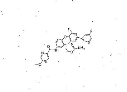 COc1cnc(C(=O)Nc2ccc3c(c2)[C@@]2(CCOC(N)=N2)c2cc(-c4cncc(F)c4)nc(F)c2O3)cn1